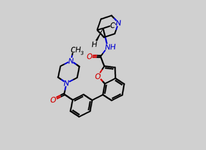 CN1CCN(C(=O)c2cccc(-c3cccc4cc(C(=O)N[C@H]5CN6CCC5CC6)oc34)c2)CC1